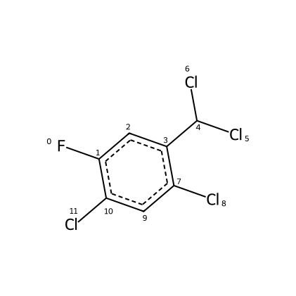 Fc1cc(C(Cl)Cl)c(Cl)cc1Cl